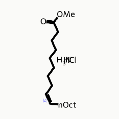 CCCCCCCC/C=C\CCCCCCCC(=O)OC.Cl.N